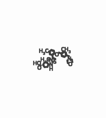 Cc1ccc(OCc2ccc(CN3CCOCC3)cc2C)c(C2=CSC(N[C@H]3CC[C@@H](C(=O)O)CC3)N2C)c1